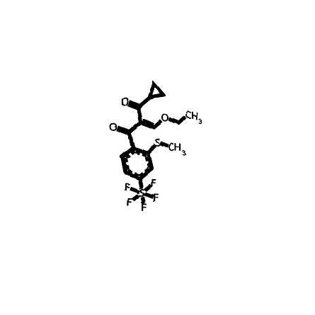 CCOC=C(C(=O)c1ccc(S(F)(F)(F)(F)F)cc1SC)C(=O)C1CC1